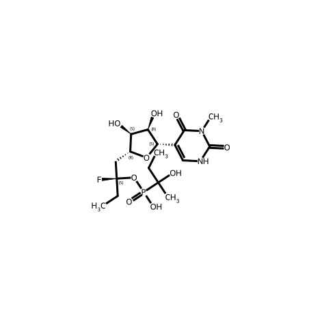 CCC(C)(O)P(=O)(O)O[C@](F)(CC)C[C@H]1O[C@@H](c2c[nH]c(=O)n(C)c2=O)[C@H](O)[C@@H]1O